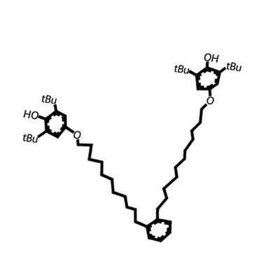 CC(C)(C)c1cc(OCCCCCCCCCCCc2ccccc2CCCCCCCCCCCOc2cc(C(C)(C)C)c(O)c(C(C)(C)C)c2)cc(C(C)(C)C)c1O